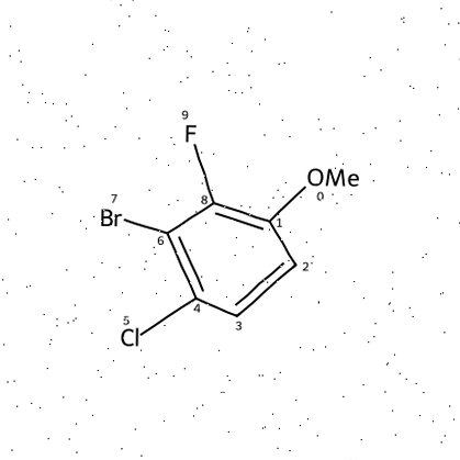 COc1ccc(Cl)c(Br)c1F